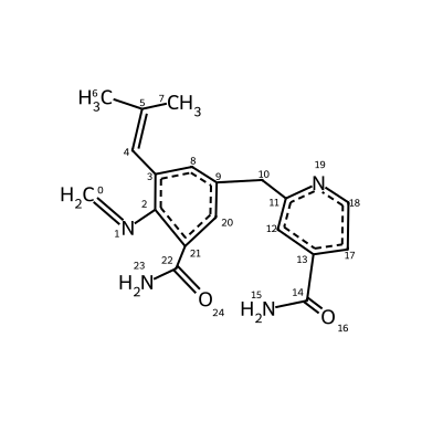 C=Nc1c(C=C(C)C)cc(Cc2cc(C(N)=O)ccn2)cc1C(N)=O